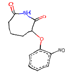 O=Nc1ccccc1OC1CCCC(=O)NC1=O